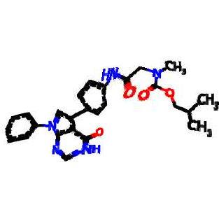 CC(C)COC(=O)N(C)CC(=O)Nc1ccc(-c2cn(-c3ccccc3)c3nc[nH]c(=O)c23)cc1